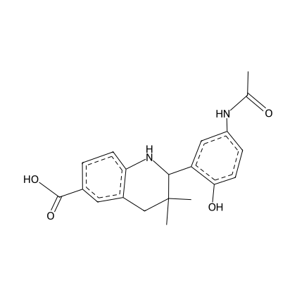 CC(=O)Nc1ccc(O)c(C2Nc3ccc(C(=O)O)cc3CC2(C)C)c1